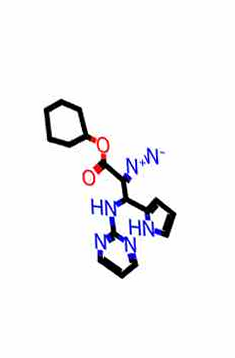 [N-]=[N+]=C(C(=O)OC1CCCCC1)C(Nc1ncccn1)c1ccc[nH]1